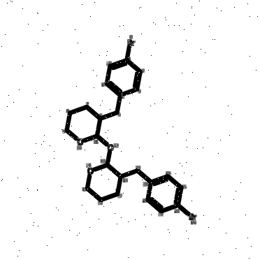 Brc1ccc(CC2CCCOC2OC2OCCCC2Cc2ccc(Br)cc2)cc1